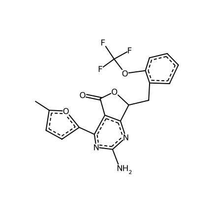 Cc1ccc(-c2nc(N)nc3c2C(=O)OC3Cc2ccccc2OC(F)(F)F)o1